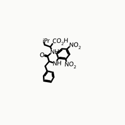 CC(C)CC(NC(=O)C(Cc1ccccc1)Nc1ccc([N+](=O)[O-])cc1[N+](=O)[O-])C(=O)O